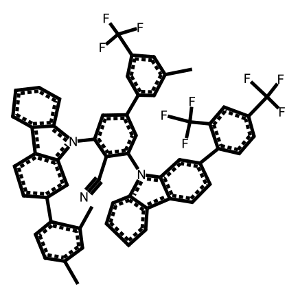 Cc1cc(-c2cc(-n3c4ccccc4c4ccc(-c5ccc(C)cc5C)cc43)c(C#N)c(-n3c4ccccc4c4ccc(-c5ccc(C(F)(F)F)cc5C(F)(F)F)cc43)c2)cc(C(F)(F)F)c1